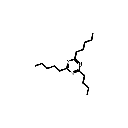 [CH2]CCCc1nc(CCCCC)nc(CCCCC)n1